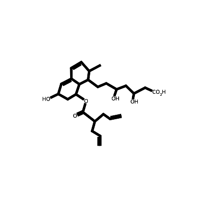 C=CCC(CC=C)C(=O)OC1CC(O)C=C2C=CC(C)C(CCC(O)CC(O)CC(=O)O)C21